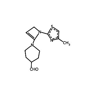 Cc1csc(N2CC=C2N2CCC(C=O)CC2)n1